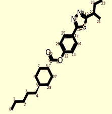 CCCCC[C@H]1CC[C@H](C(=O)Oc2ccc(-c3nnc(C(C)CC)s3)cc2)CC1